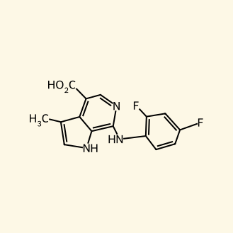 Cc1c[nH]c2c(Nc3ccc(F)cc3F)ncc(C(=O)O)c12